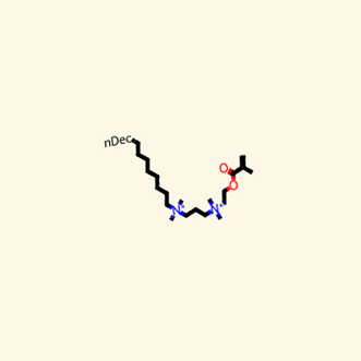 C=C(C)C(=O)OCC[N+](C)(C)CCC[N+](C)(C)CCCCCCCCCCCCCCCCCC